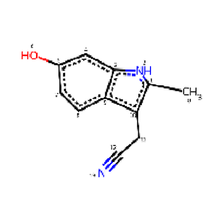 Cc1[nH]c2cc(O)ccc2c1CC#N